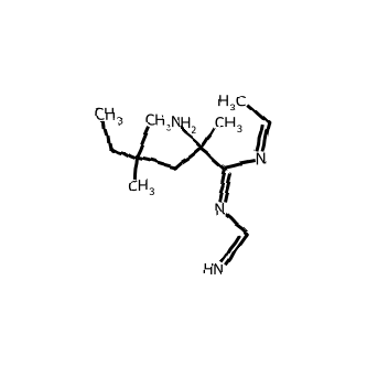 C/C=N\C(=N/C=N)C(C)(N)CC(C)(C)CC